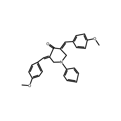 COc1ccc(C=C2CN(c3ccccc3)CC(=Cc3ccc(OC)cc3)C2=O)cc1